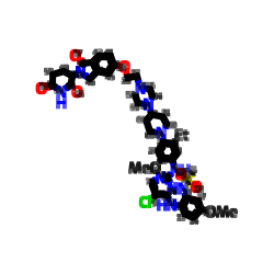 CCc1cc(Nc2ncc(Cl)c(Nc3ccc(OC)cc3NS(C)(=O)=O)n2)c(OC)cc1N1CCC(N2CCN(CCOc3ccc4c(c3)CN(C3CCC(=O)NC3=O)C4=O)CC2)CC1